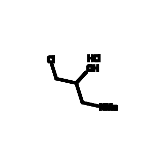 CNCC(O)CCl.Cl